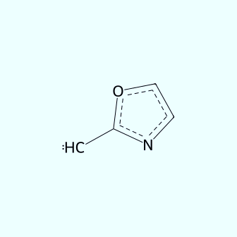 [CH]c1ncco1